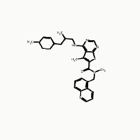 Cc1c(C(=O)N(C)Cc2cccc3ncccc23)sc2ncnc(NCC(C)CC3C=CC(C)CC3)c12